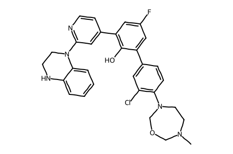 CN1CCN(c2ccc(-c3cc(F)cc(-c4ccnc(N5CCNc6ccccc65)c4)c3O)cc2Cl)COC1